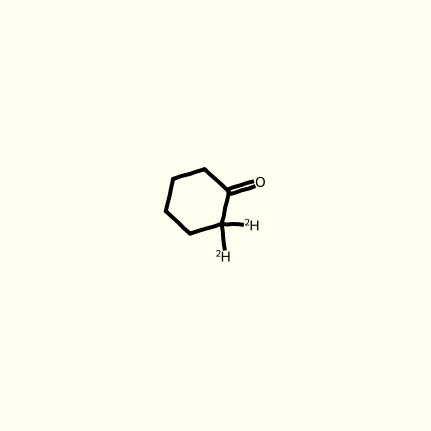 [2H]C1([2H])CCCCC1=O